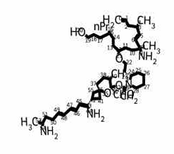 C=CCC(C)/C=C/[C@@](C)(N)CCC(CCC(CCC)CCCO)OCC[C@@H]1CCCCN1C(=C)O[C@@]1(C=O)O[C@]2(CC[C@H]1C)C[C@H](/C(N)=C/C=C/C=C/CCC(C)N)C2